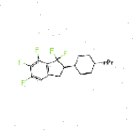 CCCC1CCC(C2Cc3cc(F)c(F)c(F)c3C2(F)F)CC1